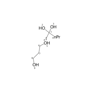 CCCC(O)(O)I.OCCCO